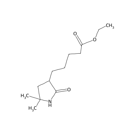 CCOC(=O)CCCCC1CC(C)(C)NC1=O